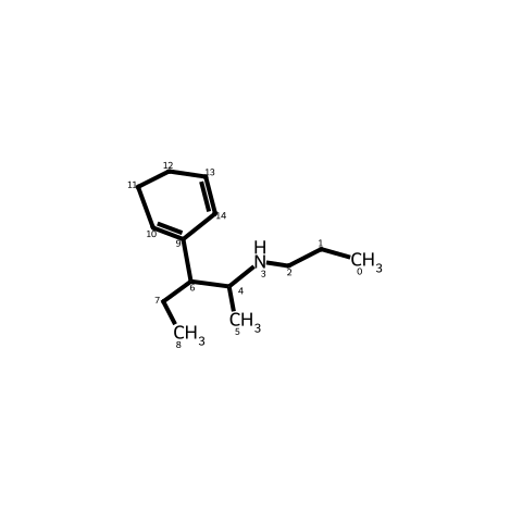 CCCNC(C)C(CC)C1=CCCC=C1